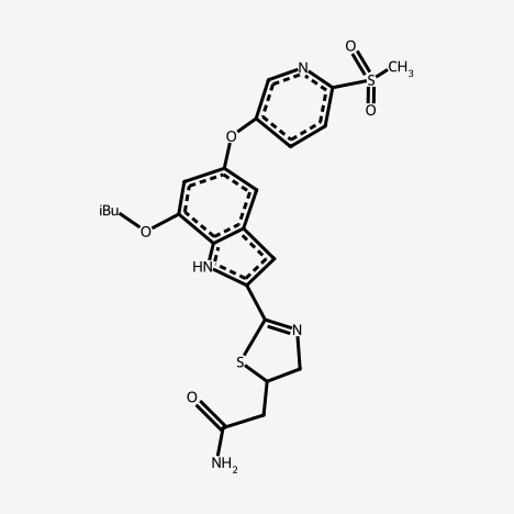 CCC(C)Oc1cc(Oc2ccc(S(C)(=O)=O)nc2)cc2cc(C3=NCC(CC(N)=O)S3)[nH]c12